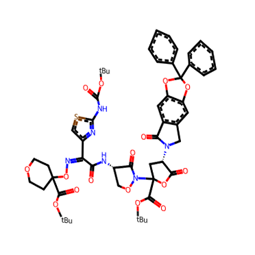 CC(C)(C)OC(=O)Nc1nc(/C(=N/OC2(C(=O)OC(C)(C)C)CCOCC2)C(=O)N[C@H]2CON(C3(C(=O)OC(C)(C)C)C[C@H](N4Cc5cc6c(cc5C4=O)OC(c4ccccc4)(c4ccccc4)O6)C(=O)O3)C2=O)cs1